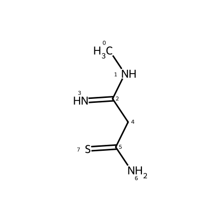 CNC(=N)CC(N)=S